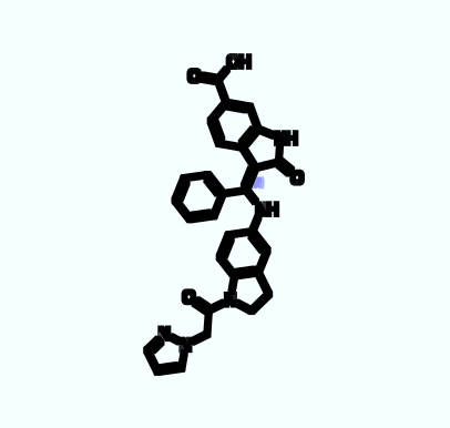 O=C1Nc2cc(C(=O)O)ccc2/C1=C(/Nc1ccc2c(c1)CCN2C(=O)Cn1cccn1)c1ccccc1